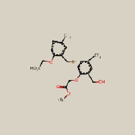 CC(C)(C)OC(=O)COc1ccc(C(F)(F)F)cc1CO.O=C(O)COc1ccc(C(F)(F)F)cc1CBr